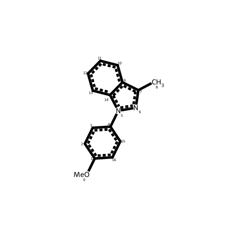 COc1ccc(-n2nc(C)c3ccccc32)cc1